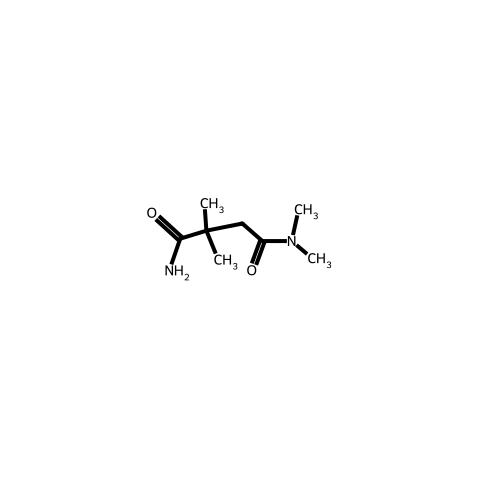 CN(C)C(=O)CC(C)(C)C(N)=O